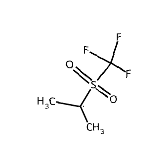 C[C](C)S(=O)(=O)C(F)(F)F